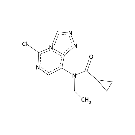 CCN(C(=O)C1CC1)c1cnc(Cl)n2cnnc12